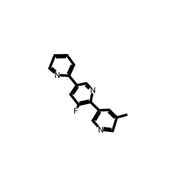 Cc1cncc(-c2ncc(-c3ccccn3)cc2F)c1